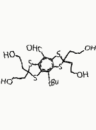 CC(C)(C)c1c2c(c(C=O)c3c1SC(CCO)(CCO)S3)SC(CCO)(CCO)S2